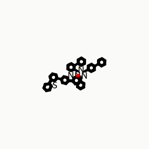 c1ccc(-c2ccc(-c3nc(-c4ccccc4)nc(-c4c(-c5ccccc5)cccc4-n4c5ccccc5c5ccc(-c6cccc7c6sc6ccccc67)cc54)n3)cc2)cc1